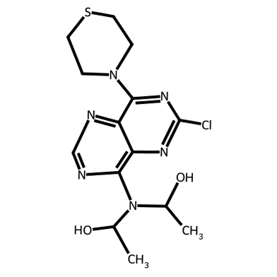 CC(O)N(c1ncnc2c(N3CCSCC3)nc(Cl)nc12)C(C)O